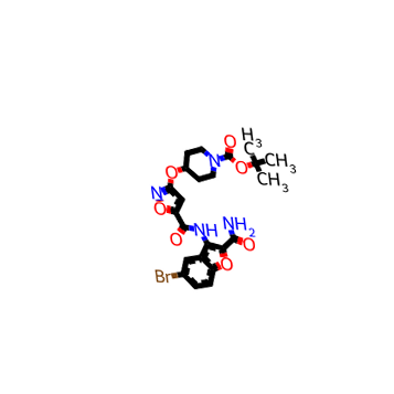 CC(C)(C)OC(=O)N1CCC(Oc2cc(C(=O)Nc3c(C(N)=O)oc4ccc(Br)cc34)on2)CC1